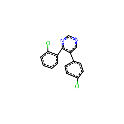 Clc1ccc(-c2[c]ncnc2-c2ccccc2Cl)cc1